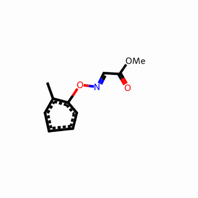 COC(=O)C=NOc1ccccc1C